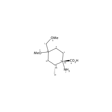 COCC1(OC)CC[C@@](N)(C(=O)O)[C@H](C)C1